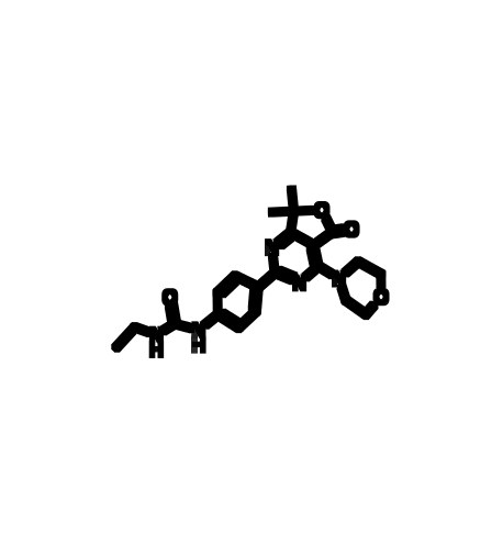 CCNC(=O)Nc1ccc(-c2nc(N3CCOCC3)c3c(n2)C(C)(C)OC3=O)cc1